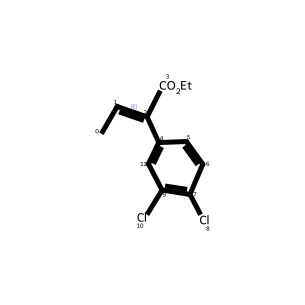 C/C=C(/C(=O)OCC)c1ccc(Cl)c(Cl)c1